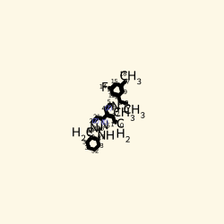 C=CC=C(/C=C\N(C)C(CC)c1cc(F)cc(CC)c1)C(/C=C\N=C)=N/CNC1CCCCC1